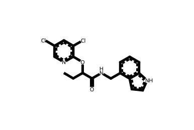 CCC(Oc1ncc(Cl)cc1Cl)C(=O)NCc1cccc2[nH]ccc12